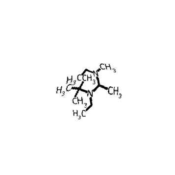 CCN(C)C(C)N(CC)C(C)(C)C